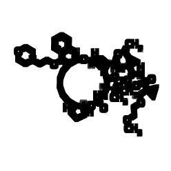 C=CC1C[C@]1(NC(=O)[C@@H]1C[C@@H]2CN1C(=O)[C@H](C(C)(C)C)NC(=O)O[C@@H]1CCC[C@H]1CCCCCc1c(nc3ccccc3c1OCCN1CCOCC1)O2)C(=O)NS(=O)(=O)C1(COCCOC)CC1